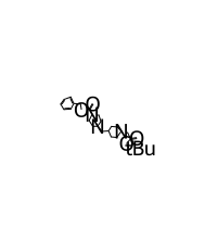 CC(C)(C)OC(=O)CN1CCC(CN2CCN(C(=O)OCc3ccccc3)CC2)CC1